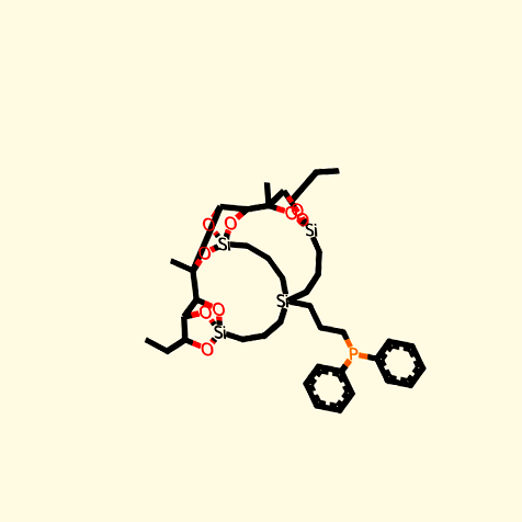 CCC1O[Si]23CCC[Si]4(CCCP(c5ccccc5)c5ccccc5)CCC[Si]56OC(CC)C(O5)C(C)(O6)C5O[Si]6(CCC4)OC5C(C)(O6)C(O2)C1O3